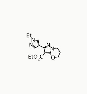 CCOC(=O)c1c(-c2cnn(CC)c2)nn2c1OCCC2